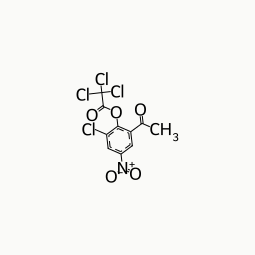 CC(=O)c1cc([N+](=O)[O-])cc(Cl)c1OC(=O)C(Cl)(Cl)Cl